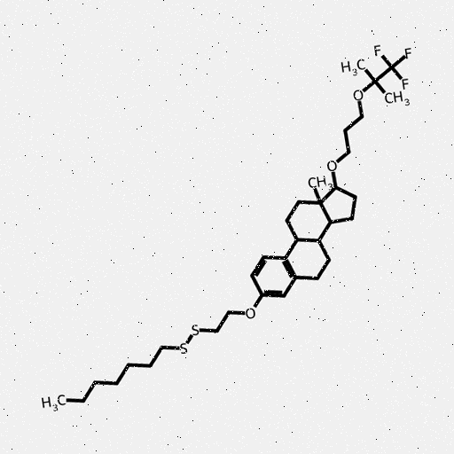 CCCCCCCSSCCOc1ccc2c(c1)CCC1C2CCC2(C)C(OCCCOC(C)(C)C(F)(F)F)CCC12